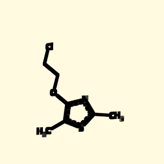 Cc1nc(OCCCl)c(C)s1